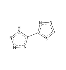 [c]1nnc(-c2nnn[nH]2)s1